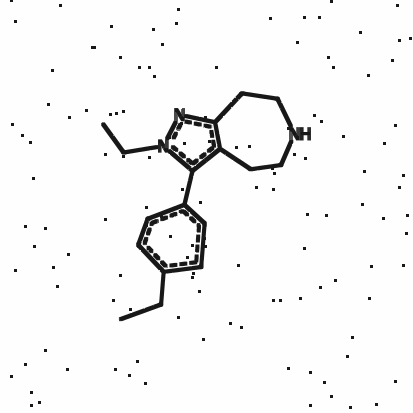 CCc1ccc(-c2c3c(nn2CC)CCNCC3)cc1